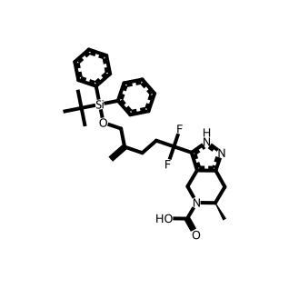 C=C(CCC(F)(F)c1[nH]nc2c1CN(C(=O)O)[C@H](C)C2)CO[Si](c1ccccc1)(c1ccccc1)C(C)(C)C